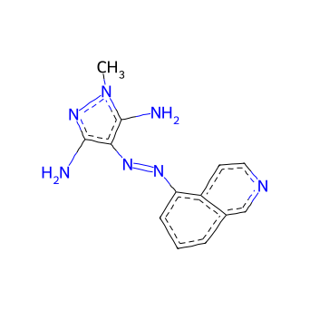 Cn1nc(N)c(N=Nc2cccc3cnccc23)c1N